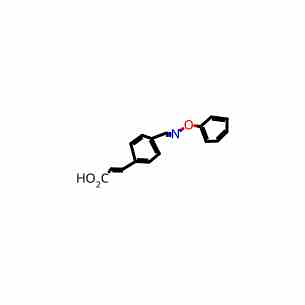 O=C(O)/C=C/c1ccc(C=NOc2ccccc2)cc1